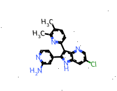 Cc1ccc(-c2c(-c3ccnc(N)c3)[nH]c3cc(Cl)cnc23)nc1C